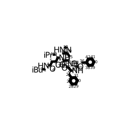 CCC(C)CNC(=O)C[C@H](O)[C@H](CC(C)C)NC(=O)[C@H](Cc1c[nH]cn1)NC(=O)[C@H](Cc1ccccc1)NC(=O)OCc1ccccc1